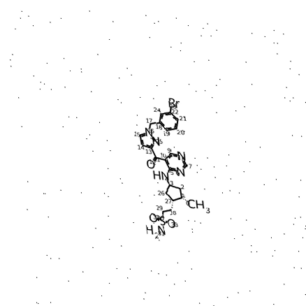 C[C@H]1C[C@H](Nc2ncncc2C(=O)c2ccn(Cc3cccc(Br)c3)n2)C[C@H]1CCS(N)(=O)=O